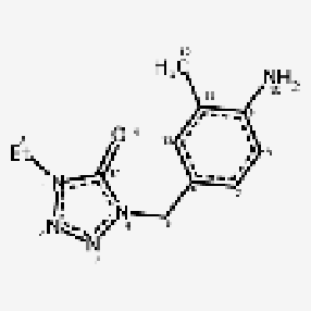 CCn1nnn(Cc2ccc(N)c(C)c2)c1=O